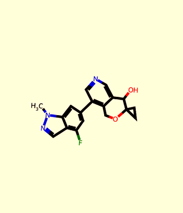 Cn1ncc2c(F)cc(-c3cncc4c3COC3(CC3)C4O)cc21